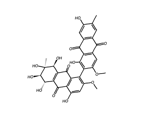 COc1cc2c(c(O)c1-c1c(OC)cc(O)c3c1C(=O)C1=C(C3=O)[C@H](O)[C@@H](O)[C@@](C)(O)[C@H]1O)C(=O)c1cc(O)c(C)cc1C2=O